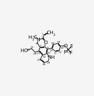 C=CC(=O)N(C)Cc1cc(-c2ccc(OC(F)(F)F)cc2)c2c(c1CCO)C=CCN2